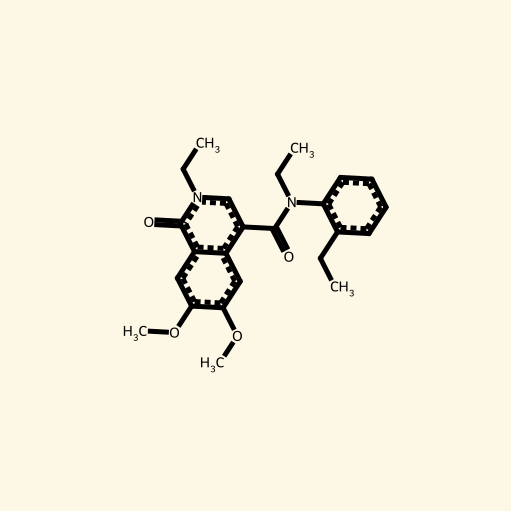 CCc1ccccc1N(CC)C(=O)c1cn(CC)c(=O)c2cc(OC)c(OC)cc12